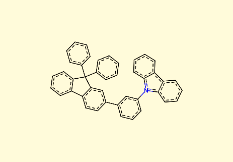 c1ccc(C2(c3ccccc3)c3ccccc3-c3ccc(-c4cccc(-n5c6ccccc6c6ccccc65)c4)cc32)cc1